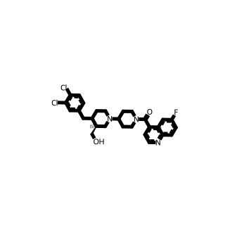 O=C(c1ccnc2ccc(F)cc12)N1CCC(N2CCC(Cc3ccc(Cl)c(Cl)c3)[C@H](CO)C2)CC1